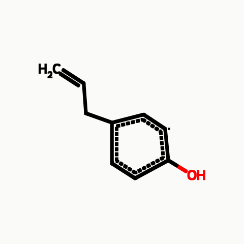 C=CCc1c[c]c(O)cc1